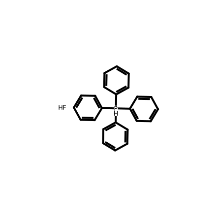 F.c1ccc([PH](c2ccccc2)(c2ccccc2)c2ccccc2)cc1